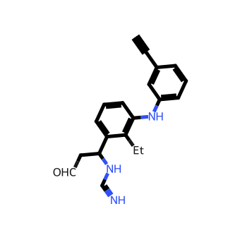 C#Cc1cccc(Nc2cccc(C(CC=O)NC=N)c2CC)c1